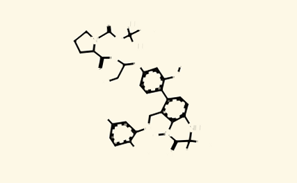 CCC(OC(=O)C1CCCN1C(=O)OC(C)(C)C)Oc1ccc(-c2ccc3c(c2COc2cc(F)ccc2C)N(C)C(=O)C(C)(C)N3)c(OC)c1